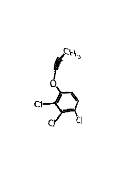 CC#COc1ccc(Cl)c(Cl)c1Cl